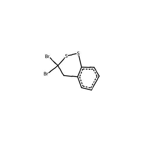 BrC1(Br)Cc2ccccc2SS1